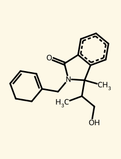 CC(CO)C1(C)c2ccccc2C(=O)N1CC1=CC=CCC1